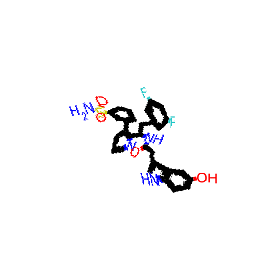 NS(=O)(=O)c1cccc(-c2cccnc2C(Cc2cc(F)cc(F)c2)NC(=O)Cc2c[nH]c3ccc(O)cc23)c1